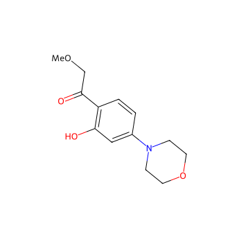 COCC(=O)c1ccc(N2CCOCC2)cc1O